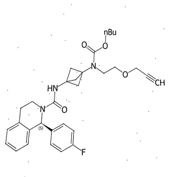 C#CCOCCN(C(=O)OCCCC)C12CC(NC(=O)N3CCc4ccccc4[C@@H]3c3ccc(F)cc3)(C1)C2